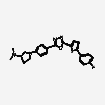 CN(C)C1CCN(c2ccc(-c3nnc(-c4ccc(-c5ccc(F)cc5)s4)o3)cc2)C1